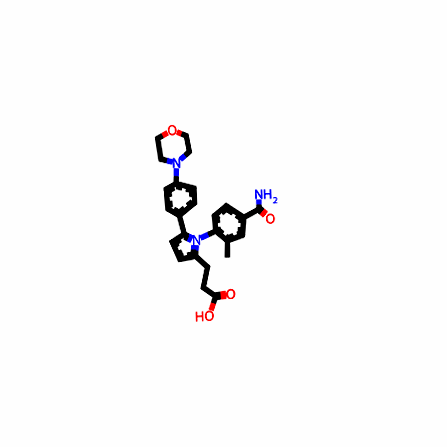 Cc1cc(C(N)=O)ccc1-n1c(CCC(=O)O)ccc1-c1ccc(N2CCOCC2)cc1